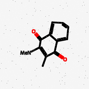 CNC1=C(C)C(=O)c2ccccc2C1=O